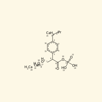 CC(C)Cc1ccc(C(C)C(=O)OP(=O)(O)O)cc1.O.O.[CaH2].[CaH2].[CaH2]